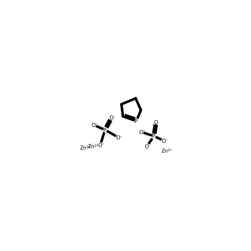 C1=PCCC1.O=P([O-])([O-])[O-].O=P([O-])([O-])[O-].[Zn+2].[Zn+2].[Zn+2]